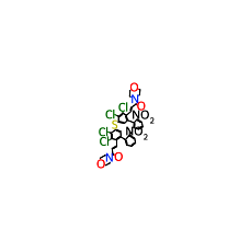 O=C(/C=C/c1c(-c2ccccc2[N+](=O)[O-])cc(Sc2cc(-c3ccccc3[N+](=O)[O-])c(/C=C/C(=O)N3CCOCC3)c(Cl)c2Cl)c(Cl)c1Cl)N1CCOCC1